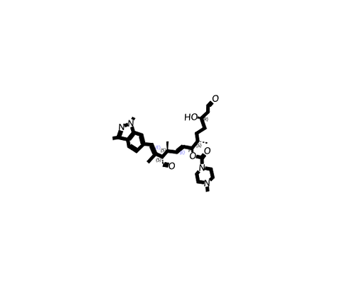 C/C(=C\c1ccc2c(C)nn(C)c2c1)[C@@H](C=O)[C@@H](C)/C=C/[C@H](OC(=O)N1CCN(C)CC1)[C@@H](C)CC[C@@H](O)CC=O